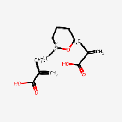 C=C(C)C(=O)O.C=C(C)C(=O)O.C[SiH]1CCCCO1